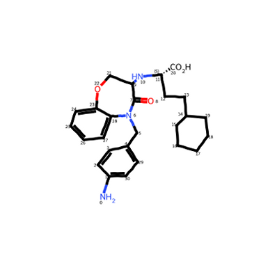 Nc1ccc(CN2C(=O)C(N[C@@H](CCC3CCCCC3)C(=O)O)COc3ccccc32)cc1